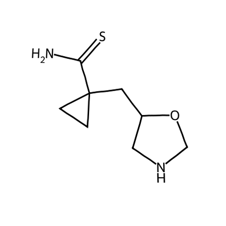 NC(=S)C1(CC2CNCO2)CC1